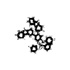 O=P1(c2ccccc2)N(c2ccccc2)c2cc(-c3ccc4sc5ccccc5c4c3)c(-c3ccc4sc5ccccc5c4c3)cc2N1c1ccccc1